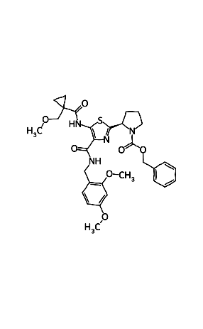 COCC1(C(=O)Nc2sc([C@H]3CCCN3C(=O)OCc3ccccc3)nc2C(=O)NCc2ccc(OC)cc2OC)CC1